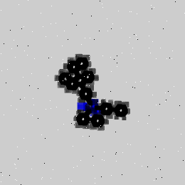 c1ccc(-c2ccc(C3N=C(c4ccc(-c5c6ccccc6c(-c6cccc7ccccc67)c6c5ccc5ccccc56)cc4)NC(c4ccccc4-c4ccccc4)N3)cc2)cc1